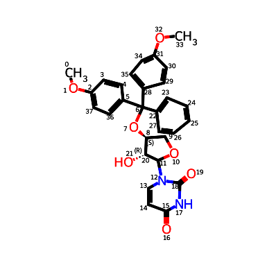 COc1ccc(C(O[C@H]2COC(n3ccc(=O)[nH]c3=O)[C@@H]2O)(c2ccccc2)c2ccc(OC)cc2)cc1